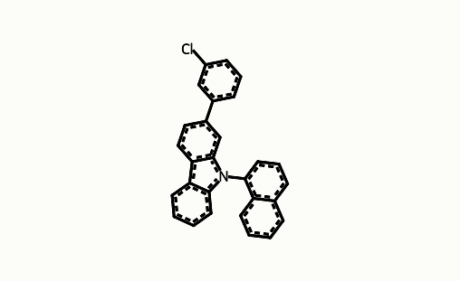 Clc1cccc(-c2ccc3c4ccccc4n(-c4cccc5ccccc45)c3c2)c1